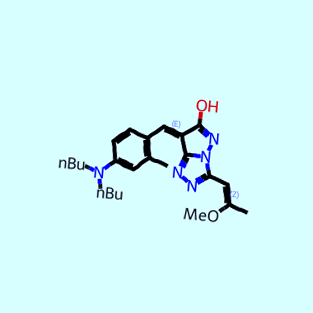 CCCCN(CCCC)c1ccc(/C=c2/c(O)nn3c(/C=C(/C)OC)nnc23)c(C)c1